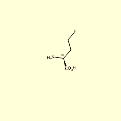 N[C@@H](CCF)C(=O)O